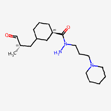 C[C@H](C=O)CC1CCC[C@@H](C(=O)N(N)CCCN2CCCCC2)C1